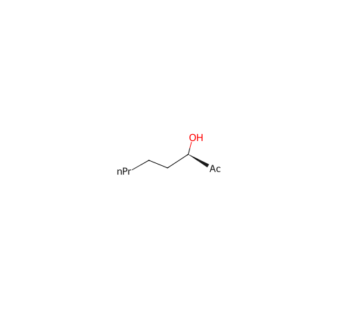 CCCCC[C@@H](O)C(C)=O